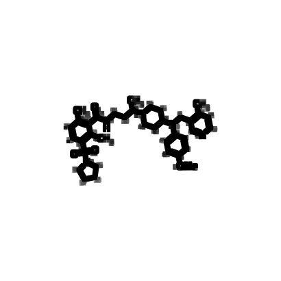 COc1ccc(N(Cc2cnccc2C)C2CCN(C(C)CCNC(=O)c3c(C)ccc(S(=O)(=O)N4CCCC4)c3C)CC2)cc1